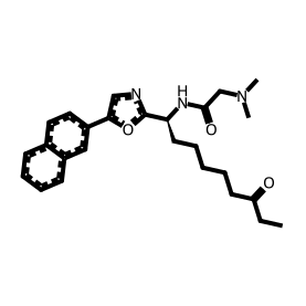 CCC(=O)CCCCC[C@H](NC(=O)CN(C)C)c1ncc(-c2ccc3ccccc3c2)o1